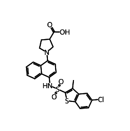 Cc1c(S(=O)(=O)Nc2ccc(N3CCC(C(=O)O)C3)c3ccccc23)sc2ccc(Cl)cc12